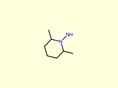 CC1CCCC(C)N1[NH]